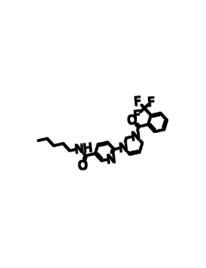 CCCCCNC(=O)c1ccc(N2C=CCN(C(=O)c3ccccc3C(F)(F)F)C2)nc1